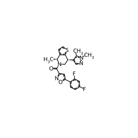 Cc1c([C@H]2CN(C(=O)c3cc(-c4ccc(F)cc4F)on3)[C@@H](C)c3ccsc32)cnn1C